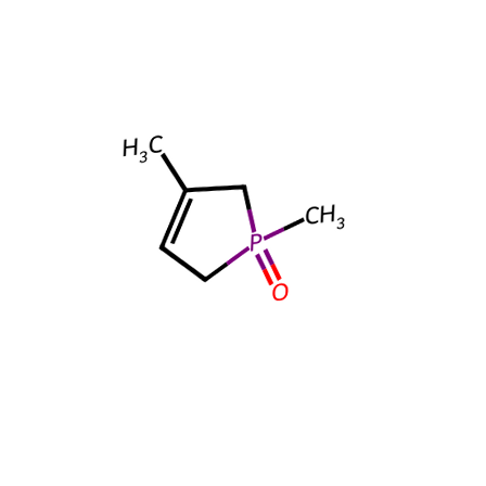 CC1=CCP(C)(=O)C1